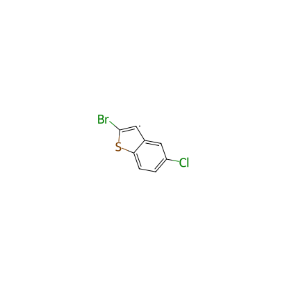 Clc1ccc2sc(Br)[c]c2c1